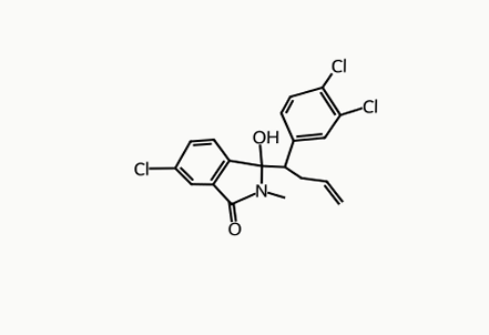 C=CCC(c1ccc(Cl)c(Cl)c1)C1(O)c2ccc(Cl)cc2C(=O)N1C